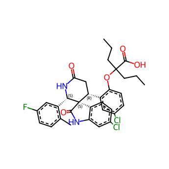 CCCC(CCC)(Oc1ccc(Cl)cc1[C@H]1CC(=O)N[C@@H](c2cc(F)ccc2C)[C@]12C(=O)Nc1cc(Cl)ccc12)C(=O)O